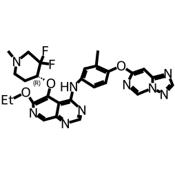 CCOc1ncc2ncnc(Nc3ccc(Oc4cc5ncnn5cn4)c(C)c3)c2c1O[C@@H]1CCN(C)CC1(F)F